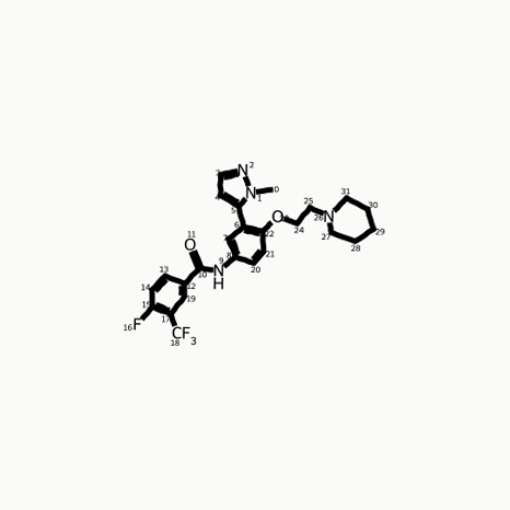 Cn1nccc1-c1cc(NC(=O)c2ccc(F)c(C(F)(F)F)c2)ccc1OCCN1CCCCC1